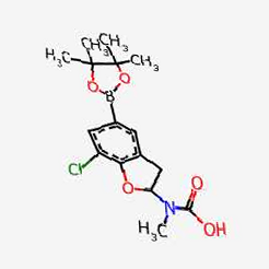 CN(C(=O)O)C1Cc2cc(B3OC(C)(C)C(C)(C)O3)cc(Cl)c2O1